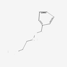 O=C(O)CCNOCc1ccccc1